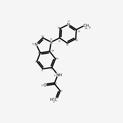 C=CC(=O)Nc1ccc2ncn(-c3ccc(C)nc3)c2c1